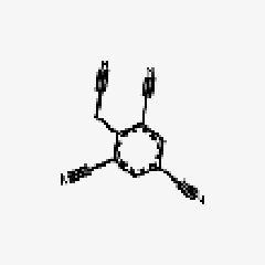 N#CCc1c(C#N)cc(C#N)cc1C#N